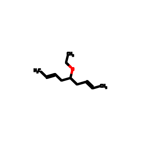 CC=CCC(CC=CC)OCC